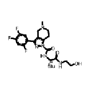 CN1CCc2c(c(-c3cc(F)c(F)cc3F)nn2C(=O)N[C@H](C(=O)NCCO)C(C)(C)C)C1